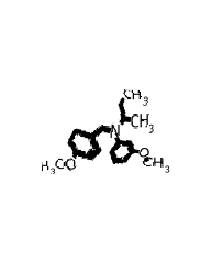 CCC(C)N(Cc1ccc(OC)cc1)c1cccc(OC)c1